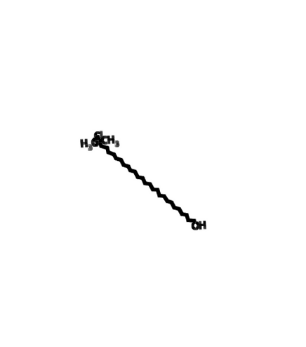 C[Si](C)(Cl)CCCCCCCCCCCCCCCCCCCCCCCCCCO